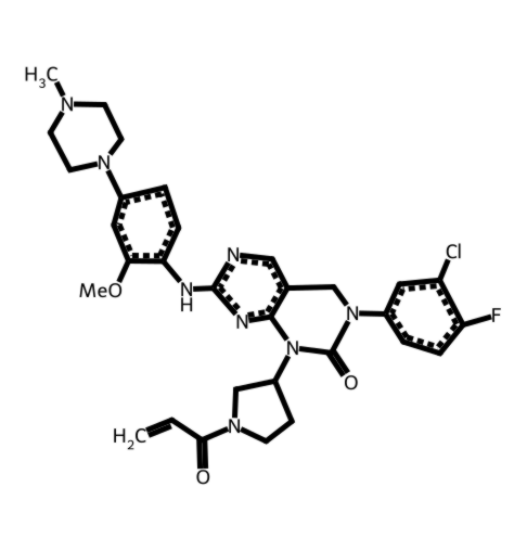 C=CC(=O)N1CCC(N2C(=O)N(c3ccc(F)c(Cl)c3)Cc3cnc(Nc4ccc(N5CCN(C)CC5)cc4OC)nc32)C1